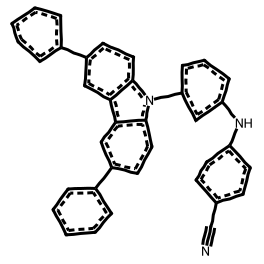 N#Cc1ccc(Nc2cccc(-n3c4ccc(-c5ccccc5)cc4c4cc(-c5ccccc5)ccc43)c2)cc1